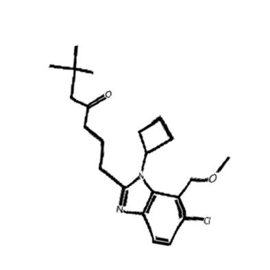 COCc1c(Cl)ccc2nc(CCCC(=O)CC(C)(C)C)n(C3CCC3)c12